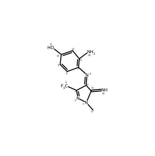 CN1N=C(C(F)(F)F)C(=Nc2ccc(O)cc2N)C1=N